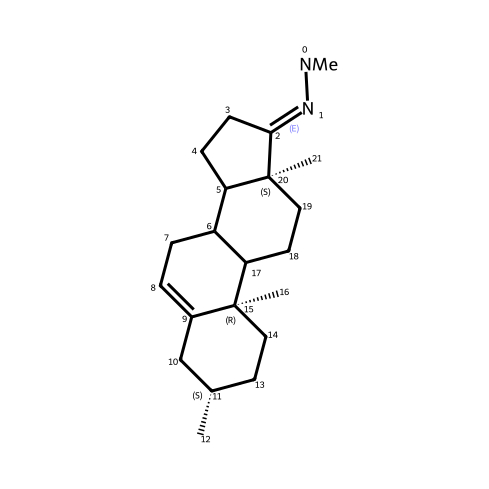 CN/N=C1\CCC2C3CC=C4C[C@@H](C)CC[C@]4(C)C3CC[C@]12C